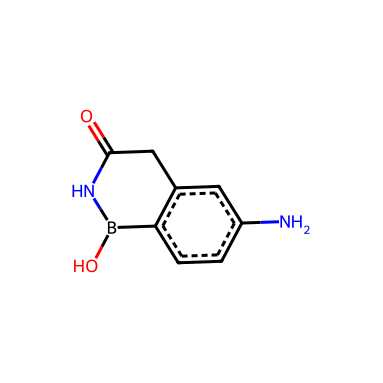 Nc1ccc2c(c1)CC(=O)NB2O